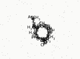 C/C=C(\C)C1OC(=O)C(C)(C)NC(=O)C([C@H](C)CC)NC(=O)CN(C)C(=O)C(Cc2ccc(Cl)cc2)N(C)C(=O)C(C)NC(=O)C(CC(C)C)OC(=O)C(C)=CCC(OC(=O)N(C)CCCCCCN(C)C(C)=O)C1C